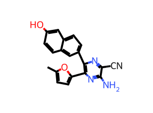 Cc1ccc(-c2nc(N)c(C#N)nc2-c2ccc3cc(O)ccc3c2)o1